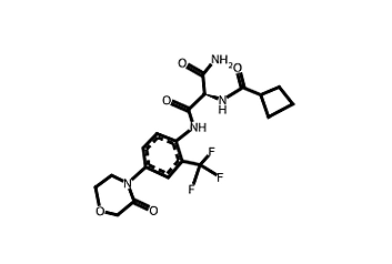 NC(=O)[C@@H](NC(=O)C1CCC1)C(=O)Nc1ccc(N2CCOCC2=O)cc1C(F)(F)F